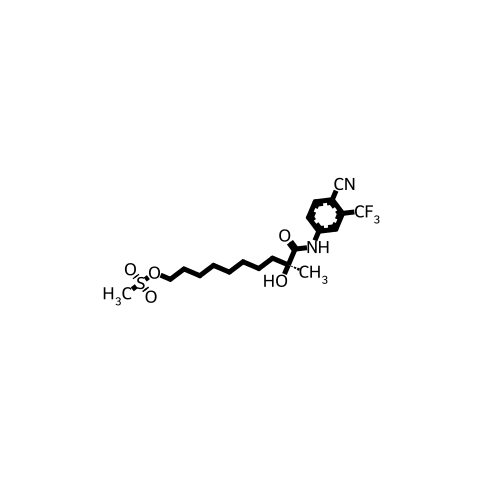 C[C@](O)(CCCCCCCCOS(C)(=O)=O)C(=O)Nc1ccc(C#N)c(C(F)(F)F)c1